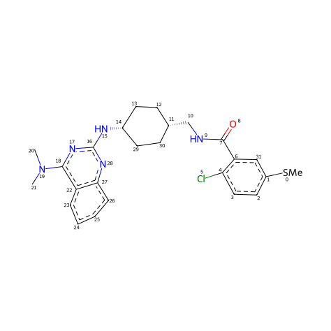 CSc1ccc(Cl)c(C(=O)NC[C@H]2CC[C@@H](Nc3nc(N(C)C)c4ccccc4n3)CC2)c1